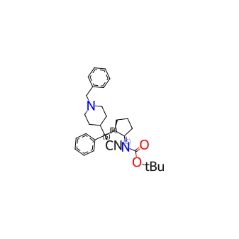 CC(C)(C)OC(=O)/N=C1\CCC[C@@H]1[C@](C#N)(c1ccccc1)C1CCN(Cc2ccccc2)CC1